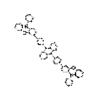 c1ccc(N2c3ccccc3Oc3cc(-c4ccc(-c5c6ccccc6c(-c6ccc(-c7ccc8c(c7)Oc7ccccc7N8c7ccccc7)cc6)c6ccccc56)cc4)ccc32)cc1